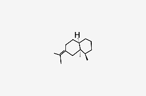 CC(C)=C1CC[C@H]2CCC[C@@H](C)[C@@]2(C)C1